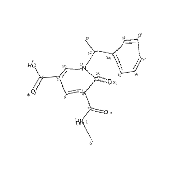 CNC(=O)c1cc(C(=O)O)cn(C(C)c2ccccc2)c1=O